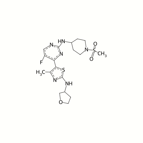 Cc1nc(NC2CCOC2)sc1-c1nc(NC2CCN(S(C)(=O)=O)CC2)ncc1F